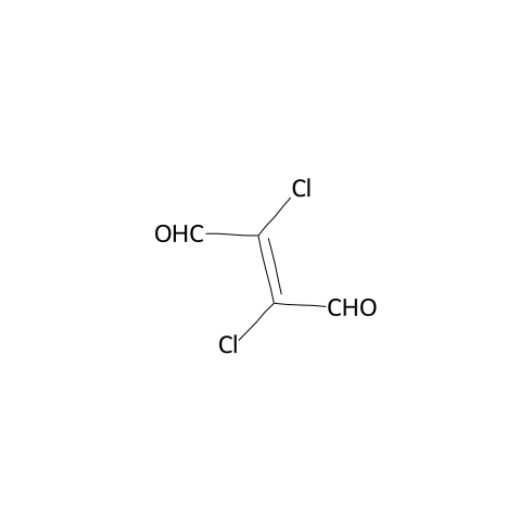 O=CC(Cl)=C(Cl)C=O